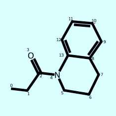 CCC(=O)N1CCCc2c[c]ccc21